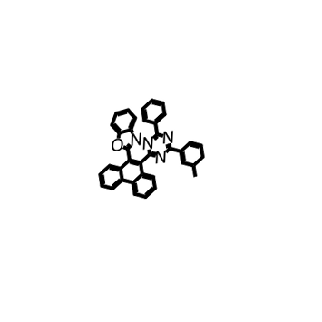 CC1C=C(c2nc(-c3ccccc3)nc(-c3c(-c4nc5ccccc5o4)c4ccccc4c4ccccc34)n2)C=CC1